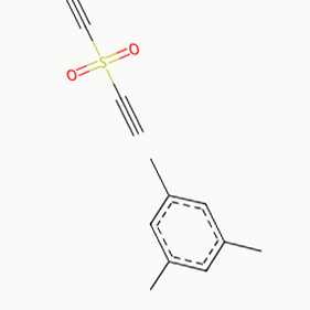 C#CS(=O)(=O)C#C.Cc1cc(C)cc(C)c1